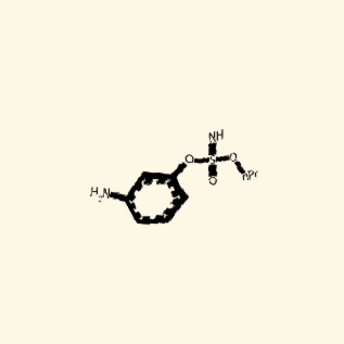 CCCOS(=N)(=O)Oc1cccc(N)c1